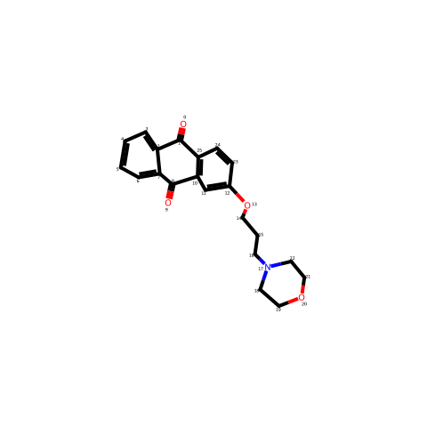 O=C1c2ccccc2C(=O)c2cc(OCCCN3CCOCC3)ccc21